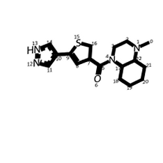 CN1CCN(C(=O)C2C=C(c3cn[nH]c3)SC2)C2CCCCC21